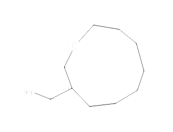 CC(C)[CH]C1CCCCCCCCC1